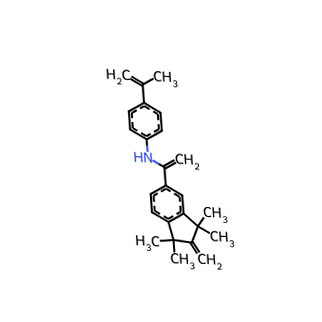 C=C(C)c1ccc(NC(=C)c2ccc3c(c2)C(C)(C)C(=C)C3(C)C)cc1